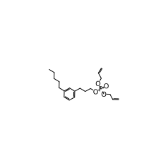 C=CCOP(=O)(OCC=C)OCCCc1cccc(CCCCC)c1